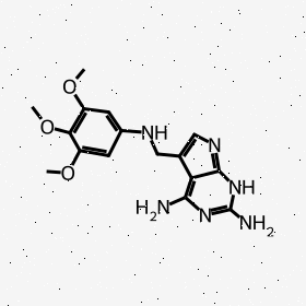 COc1cc(NCc2cnc3[nH]c(N)nc(N)c2-3)cc(OC)c1OC